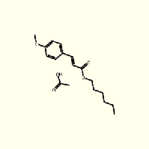 CC(=O)O.CCCCCCOC(=O)C=Cc1ccc(OC)cc1